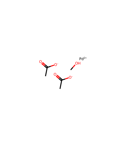 CC(=O)[O-].CC(=O)[O-].CO.[Pd+2]